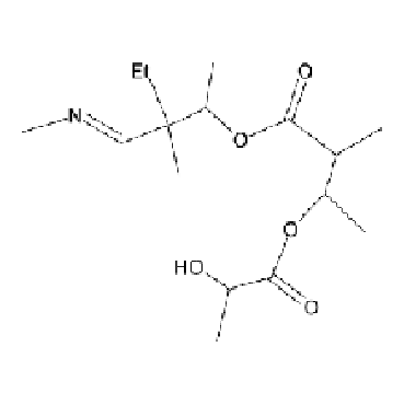 CCC(C)(/C=N/C)C(C)OC(=O)C(C)C(C)OC(=O)C(C)O